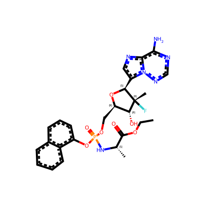 CCOC(=O)[C@H](C)NP(=O)(OC[C@H]1O[C@@H](c2cnc3c(N)ncnn23)[C@](C)(F)[C@@H]1O)Oc1cccc2ccccc12